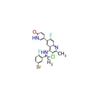 Cc1nc2cc(F)c(-c3ccc(=O)[nH]c3)cc2c(N[C@H](C)c2cc(Br)ccc2F)c1Cl